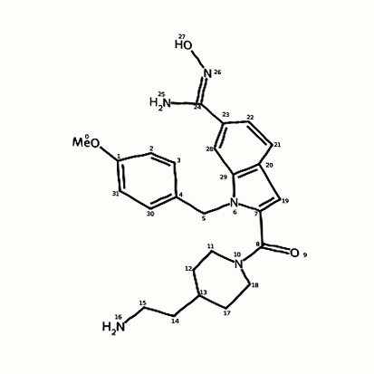 COc1ccc(Cn2c(C(=O)N3CCC(CCN)CC3)cc3ccc(/C(N)=N/O)cc32)cc1